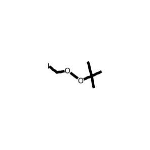 CC(C)(C)OOCI